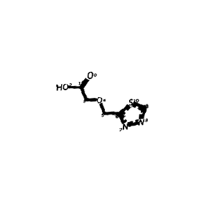 O=C(O)COCc1nn[c]s1